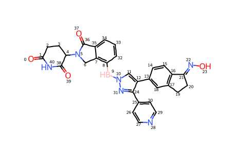 O=C1CCC(N2Cc3c(Bn4cc(-c5ccc6c(c5)CC/C6=N\O)c(-c5ccncc5)n4)cccc3C2=O)C(=O)N1